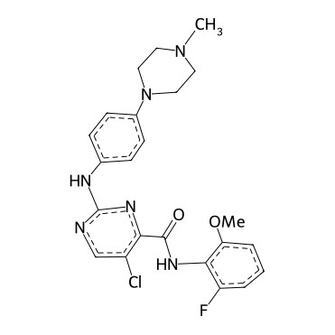 COc1cccc(F)c1NC(=O)c1nc(Nc2ccc(N3CCN(C)CC3)cc2)ncc1Cl